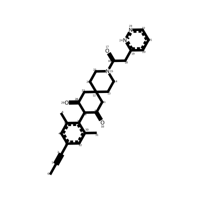 CC#Cc1cc(C)c(C2C(=O)CC3(CCN(C(=O)Cc4cccnn4)CC3)CC2=O)c(C)c1